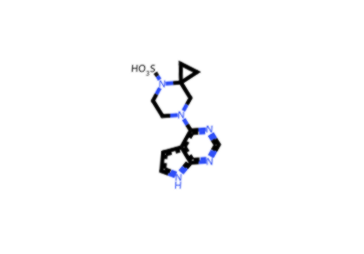 O=S(=O)(O)N1CCN(c2ncnc3[nH]ccc23)CC12CC2